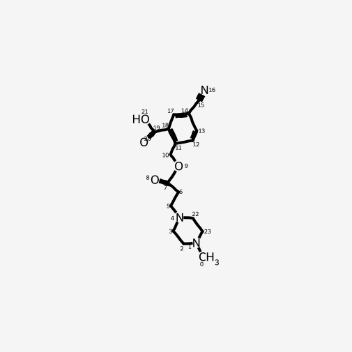 CN1CCN(CCC(=O)OCc2ccc(C#N)cc2C(=O)O)CC1